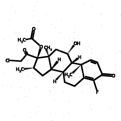 CC(=O)O[C@]1(C(=O)CCl)[C@@H](C)C[C@H]2[C@@H]3CCC4=C(F)C(=O)C=C[C@]4(C)[C@H]3[C@@H](O)C[C@@]21C